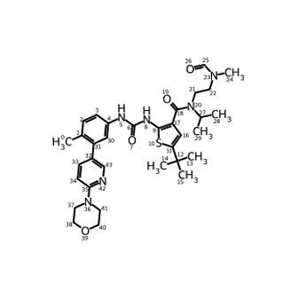 Cc1ccc(NC(=O)Nc2sc(C(C)(C)C)cc2C(=O)N(CCN(C)C=O)C(C)C)cc1-c1ccc(N2CCOCC2)nc1